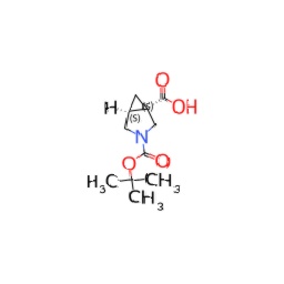 CC(C)(C)OC(=O)N1C[C@H]2C[C@@]2(C(=O)O)C1